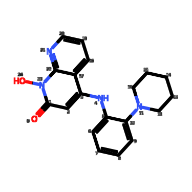 O=c1cc(Nc2ccccc2N2CCCCC2)c2cccnc2n1O